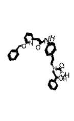 O=C(Cc1cccc(OCc2ccccc2)n1)Nc1ccc(CCN(CC(O)c2ccccc2)C(=O)O)cc1